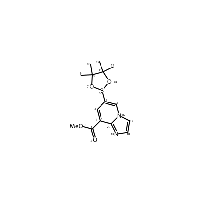 COC(=O)c1cc(B2OC(C)(C)C(C)(C)O2)cn2ccnc12